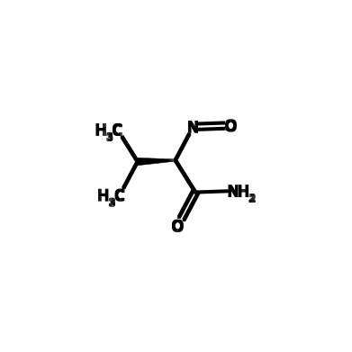 CC(C)[C@@H](N=O)C(N)=O